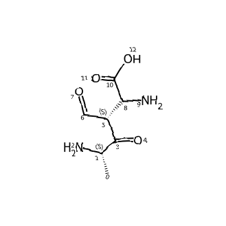 C[C@H](N)C(=O)[C@H](C=O)C(N)C(=O)O